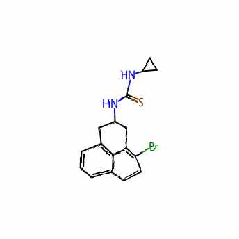 S=C(NC1CC1)NC1Cc2cccc3ccc(Br)c(c23)C1